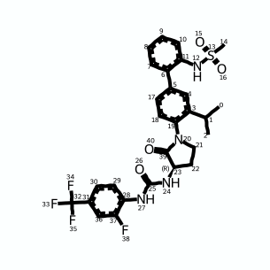 CC(C)c1cc(-c2ccccc2NS(C)(=O)=O)ccc1N1CC[C@@H](NC(=O)Nc2ccc(C(F)(F)F)cc2F)C1=O